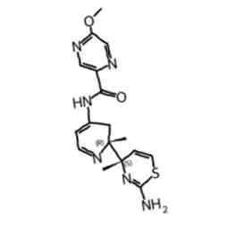 COc1cnc(C(=O)NC2=CC=N[C@@](C)([C@]3(C)C=CSC(N)=N3)C2)cn1